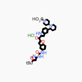 CC(C)(C)c1cc(NC(=O)Nc2ccc3oc(C(=O)c4cc5cc(C6CCCCN6C6CCN(C(=O)O)CC6)ccc5[nH]4)cc3c2)no1.Cl